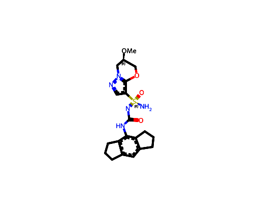 CO[C@H]1COc2c([S@](N)(=O)=NC(=O)Nc3c4c(cc5c3CCC5)CCC4)cnn2C1